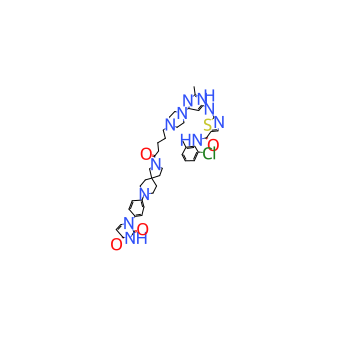 Cc1nc(Nc2ncc(C(=O)Nc3c(C)cccc3Cl)s2)cc(N2CCN(CCCCC(=O)N3CCC4(CCN(c5ccc(-n6ccc(=O)[nH]c6=O)cc5)CC4)C3)CC2)n1